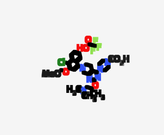 COCOc1cc(N2CCc3c(nc(OC(C)CN(C)C)nc3N3CCN(C(=O)O)CC3)C2)c2ccccc2c1Cl.O=C(O)C(F)(F)F